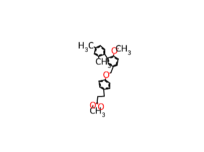 COC(=O)CCc1ccc(OCc2ccc(OC)c(-c3ccc(C)cc3C)c2)cc1